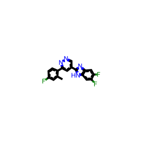 Cc1cc(F)ccc1-c1cc(-c2nc3cc(F)c(F)cc3[nH]2)cnn1